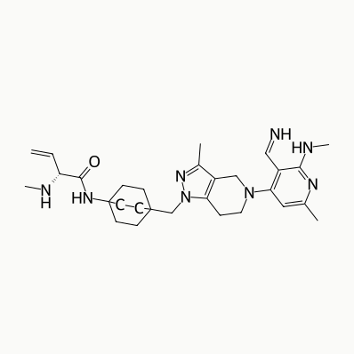 C=C[C@@H](NC)C(=O)NC12CCC(Cn3nc(C)c4c3CCN(c3cc(C)nc(NC)c3C=N)C4)(CC1)CC2